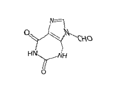 O=Cn1cnc2c(=O)[nH]c(=O)[nH]c21